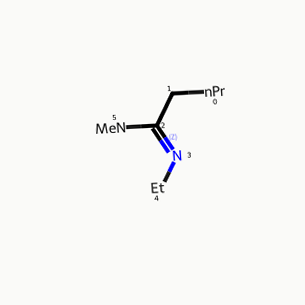 CCCC/C(=N/CC)NC